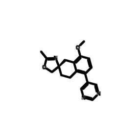 COc1ccc(-c2cncnc2)c2c1C[C@@]1(CC2)COC(C)=N1